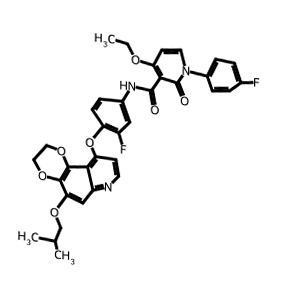 CCOc1ccn(-c2ccc(F)cc2)c(=O)c1C(=O)Nc1ccc(Oc2ccnc3cc(OCC(C)C)c4c(c23)OCCO4)c(F)c1